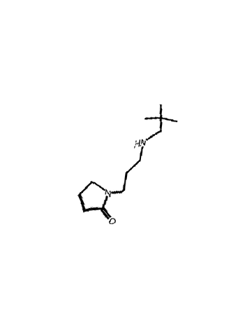 CC(C)(C)CNCCCN1CCCC1=O